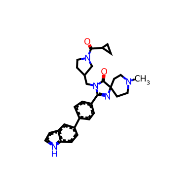 CN1CCC2(CC1)N=C(c1ccc(-c3ccc4[nH]ccc4c3)cc1)N(CC1CCN(C(=O)C3CC3)C1)C2=O